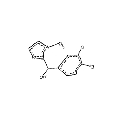 Cn1ccnc1C(O)c1ccc(Cl)c(Cl)c1